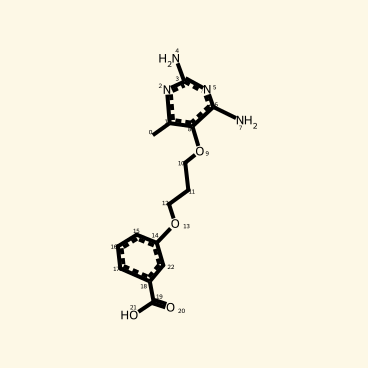 Cc1nc(N)nc(N)c1OCCCOc1cccc(C(=O)O)c1